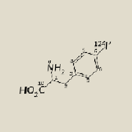 NC(Cc1ccc([124I])cc1)C(=O)O